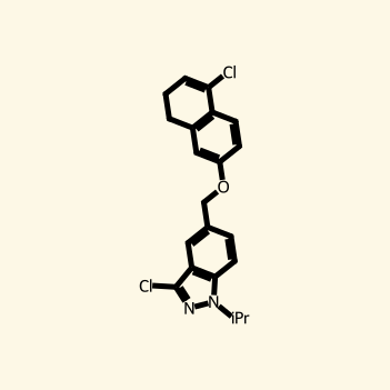 CC(C)n1nc(Cl)c2cc(COc3ccc4c(c3)CCC=C4Cl)ccc21